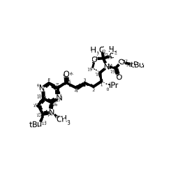 CC(C)[C@H](C/C=C/C(=O)c1cnc2cc(C(C)(C)C)n(C)c2n1)[C@@H]1COC(C)(C)N1C(=O)OC(C)(C)C